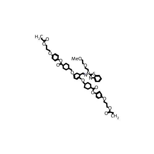 C=CC(=O)OCCCOc1ccc(OC(=O)C2CCC(COC3=CC=C(OCC4CCC(C(=O)Oc5ccc(OCCCOC(=O)C=C)cc5)CC4)C(/C=N/N(CCOCCOC)c4nc5ccccc5s4)C3)CC2)cc1